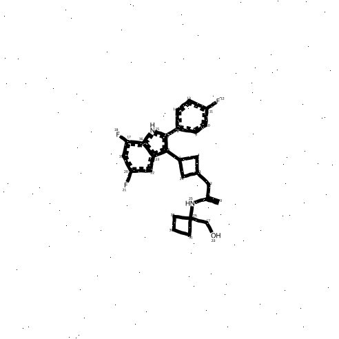 C=C(CC1CC(c2c(-c3ccc(F)cc3)[nH]c3c(F)cc(F)cc23)C1)NC1(CO)CCC1